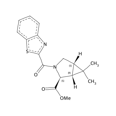 COC(=O)[C@@H]1[C@@H]2[C@H](CN1C(=O)c1nc3ccccc3s1)C2(C)C